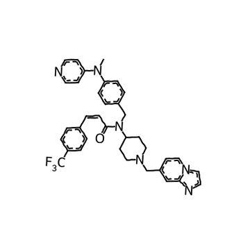 CN(c1ccncc1)c1ccc(CN(C(=O)C=Cc2ccc(C(F)(F)F)cc2)C2CCN(Cc3ccn4ccnc4c3)CC2)cc1